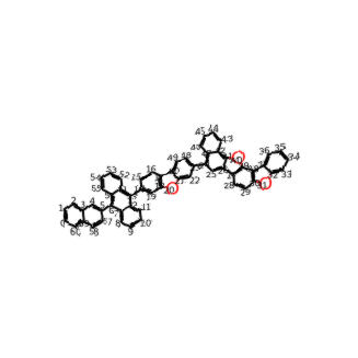 c1ccc2cc(-c3c4ccccc4c(-c4ccc5c(c4)oc4cc(-c6cc7c8ccc9oc%10ccccc%10c9c8oc7c7ccccc67)ccc45)c4ccccc34)ccc2c1